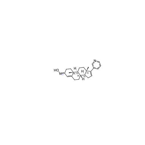 C[C@]12CC/C(=N\O)C=C1CC[C@@H]1[C@@H]2CC[C@]2(C)C(c3cccnc3)=CC[C@@H]12